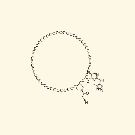 Cc1nn(C)cc1Nc1ncc(Cl)c(NC2CCCCCCCCCCCCCCCCCCCCCCCCCCCCCCCCCCCCCCCCCCCCCCCCC3(CC2)CCN(C(=O)CC#N)CC3)n1